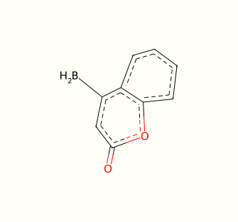 Bc1cc(=O)oc2ccccc12